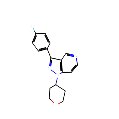 Fc1ccc(-c2nn(C3CCOCC3)c3ccncc23)cc1